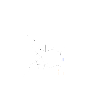 CCCC(C)(C)C1(C(C)(C)CCC)C(C)(C)CC(C)NC(C)(P)CC1(C)C